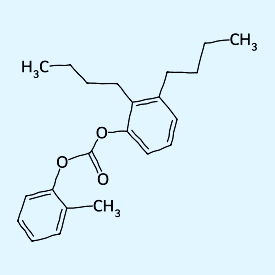 CCCCc1cccc(OC(=O)Oc2ccccc2C)c1CCCC